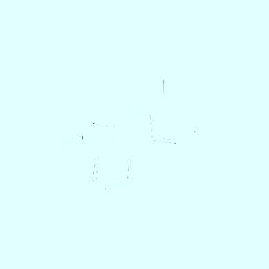 Cc1ccc(CN2C(=O)C(=O)c3ccccc32)c(C)c1